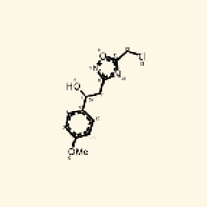 COc1ccc([C@@H](O)Cc2noc(CCl)n2)cc1